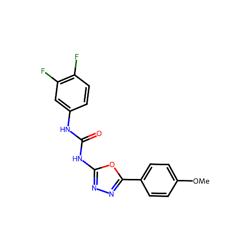 COc1ccc(-c2nnc(NC(=O)Nc3ccc(F)c(F)c3)o2)cc1